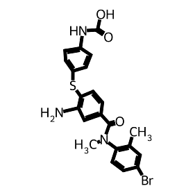 Cc1cc(Br)ccc1N(C)C(=O)c1ccc(Sc2ccc(NC(=O)O)cc2)c(N)c1